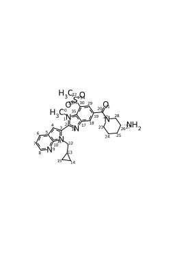 Cn1c(-c2cc3cccnc3n2CC2CC2)nc2cc(C(=O)N3CCC[C@@H](N)C3)cc(S(C)(=O)=O)c21